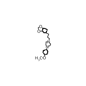 COc1ccc(N2CCN(CCCc3ccc4c(c3)OCO4)CC2)cc1